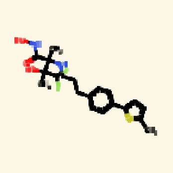 Cc1ccc(-c2ccc(CCCNC(C)(C(=O)NO)C(C)(O)C(F)F)cc2)s1